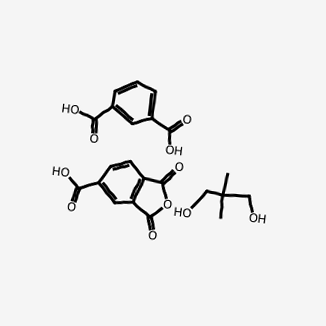 CC(C)(CO)CO.O=C(O)c1ccc2c(c1)C(=O)OC2=O.O=C(O)c1cccc(C(=O)O)c1